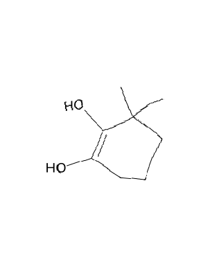 CC1(C)CCCC(O)=C1O